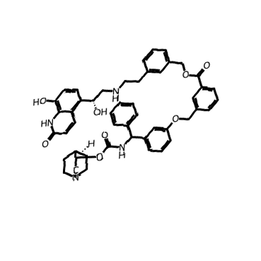 O=C(NC(c1ccccc1)c1cccc(OCc2cccc(C(=O)OCc3cccc(CCNC[C@H](O)c4ccc(O)c5[nH]c(=O)ccc45)c3)c2)c1)O[C@H]1CN2CCC1CC2